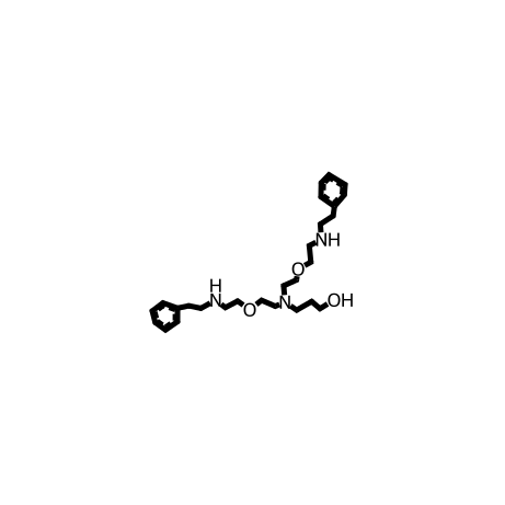 OCCCN(CCOCCNCCc1ccccc1)CCOCCNCCc1ccccc1